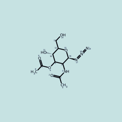 CC(=O)NC1C(OC(C)=O)[C@H](O)C(CO)O[C@H]1N=[N+]=[N-]